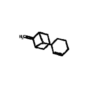 C=C1C2CCCC1B2C1C=CCCC1